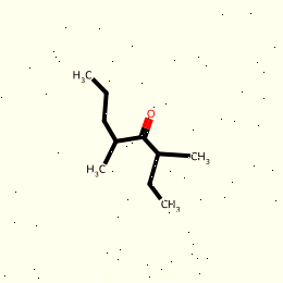 CCCC(C)C(=O)C(C)CC